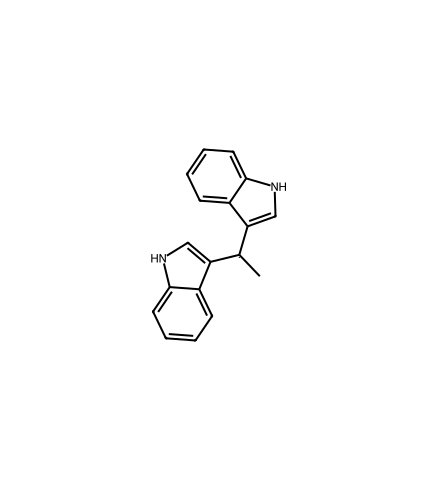 C[C](c1c[nH]c2ccccc12)c1c[nH]c2ccccc12